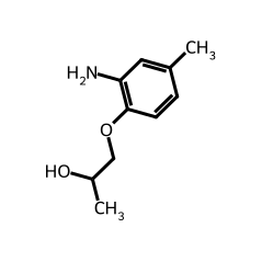 Cc1ccc(OCC(C)O)c(N)c1